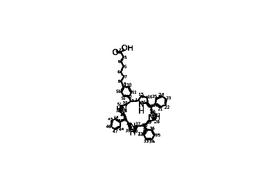 O=C(O)CCCCCCc1ccc(/C2=c3\cc/c([nH]3)=C(\c3ccccc3)C3C=C/C(=C(\c4ccccc4)c4ccc([nH]4)/C(c4ccccc4)=C4/C=CC2N4)N3)cc1